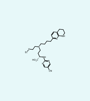 CCOCCN(CCCCc1ccc2c(n1)NCCC2)CC[C@H](Nc1ncc(C#N)cn1)C(=O)O